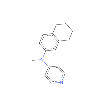 CN(c1ccncc1)c1ccc2c(c1)CCCC2